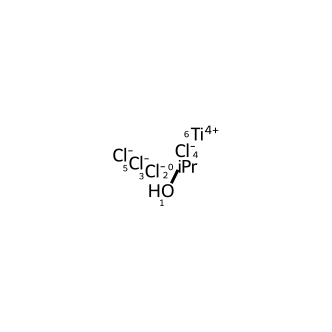 CC(C)O.[Cl-].[Cl-].[Cl-].[Cl-].[Ti+4]